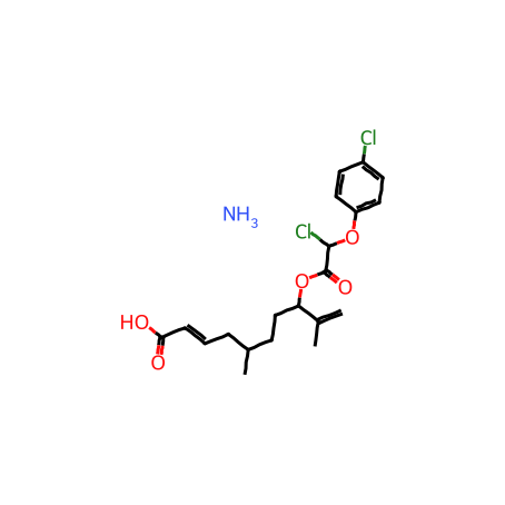 C=C(C)C(CCC(C)CC=CC(=O)O)OC(=O)C(Cl)Oc1ccc(Cl)cc1.N